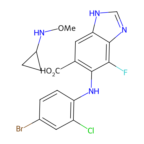 CONC1CC1.O=C(O)c1cc2[nH]cnc2c(F)c1Nc1ccc(Br)cc1Cl